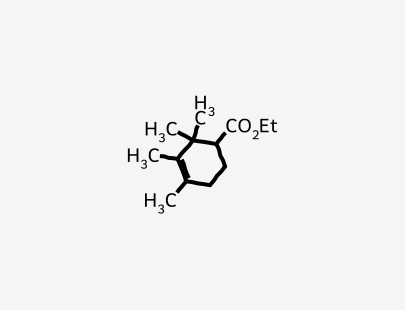 CCOC(=O)C1CCC(C)=C(C)C1(C)C